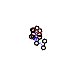 c1ccc(-c2ccccc2-n2c3ccccc3c3cccc(-n4c5cccc(-n6c7ccccc7c7ccccc76)c5c5cccc([Si](c6ccccc6)(c6ccccc6)c6ccccc6)c54)c32)cc1